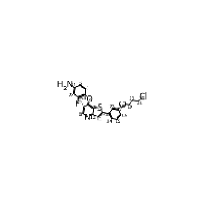 Nc1ccc(Oc2ccnc3cc(-c4cccc(OCCCCl)c4)sc23)c(F)c1